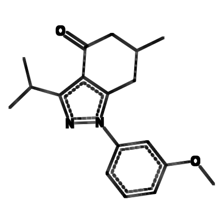 COc1cccc(-n2nc(C(C)C)c3c2CC(C)CC3=O)c1